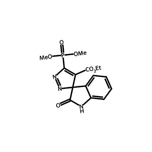 CCOC(=O)C1=C(P(=O)(OC)OC)N=NC12C(=O)Nc1ccccc12